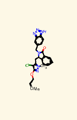 COCCOc1nn(C)c(CC2c3ccccc3C(=O)N2Cc2ccc3[nH]nnc3c2)c1Cl